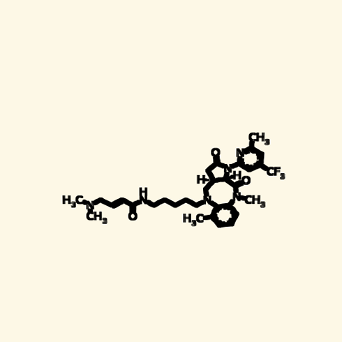 Cc1cc(C(F)(F)F)cc(N2C(=O)C[C@@H]3CN(CCCCCNC(=O)/C=C/CN(C)C)c4c(C)cccc4N(C)C(=O)[C@H]32)n1